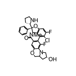 CNC(=O)c1cc2c(c(F)c1-c1c(Cl)c(F)cc3c1C[C@](c1ccccc1)([C@@H]1CCCN1)O3)N1C[C@H](O)CC1CO2